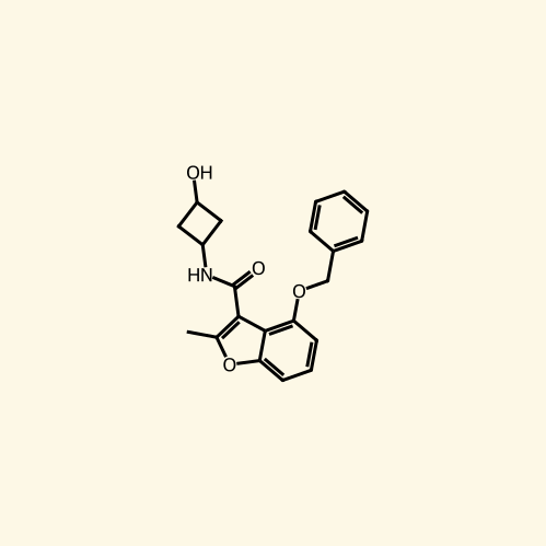 Cc1oc2cccc(OCc3ccccc3)c2c1C(=O)NC1CC(O)C1